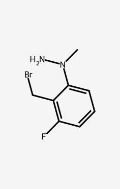 CN(N)c1cccc(F)c1CBr